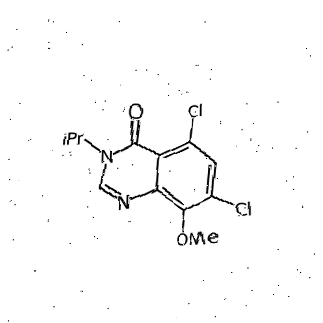 COc1c(Cl)cc(Cl)c2c(=O)n(C(C)C)cnc12